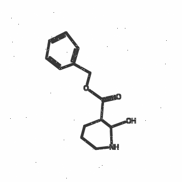 O=C(OCc1ccccc1)C1CCCNC1O